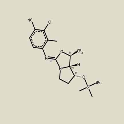 Cc1c(/N=C2\O[C@@H](C(F)(F)F)[C@@H]3[C@H](O[Si](C)(C)C(C)(C)C)CCN23)ccc(C#N)c1Cl